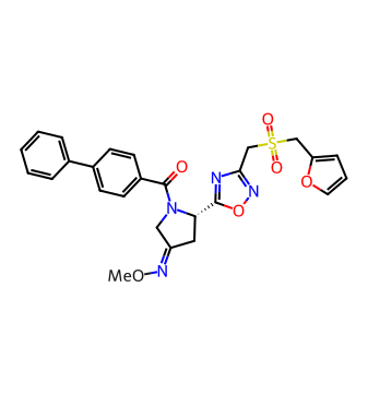 CON=C1C[C@@H](c2nc(CS(=O)(=O)Cc3ccco3)no2)N(C(=O)c2ccc(-c3ccccc3)cc2)C1